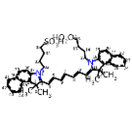 CC1(C)C(/C=C/C=C/C=C/C=C2\N(CCCCC(=O)O)c3ccc4ccccc4c3C2(C)C)=[N+](CCCCS(=O)(=O)O)c2ccc3ccccc3c21